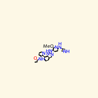 C=CC(=O)Nc1cccnc1-c1cccc2cnc(Nc3ccc(NC4CNC4)nc3OC)nc12